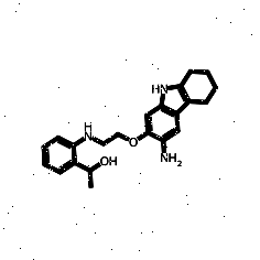 CC(O)c1ccccc1NCCOc1cc2[nH]c3c(c2cc1N)CCCC3